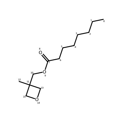 CCCCCCCC(=O)OCC1(C)COC1